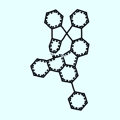 O=c1c2ccccc2c2cc(-c3ccccc3)cc3c4ccc5c(c4n1c23)C1(c2ccccc2-c2ccccc21)c1ccccc1-5